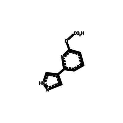 O=C(O)Oc1cccc(-c2cn[nH]c2)n1